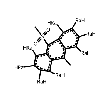 Cc1c2[c]([RaH])[c]([RaH])[c]([RaH])[c]([RaH])c2c(S(C)(=O)=O)c2[c]([RaH])[c]([RaH])[c]([RaH])[c]([RaH])c12